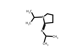 CC(C)/N=C1\CCCN1C(C)C